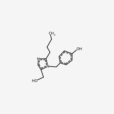 CCCCc1ncc(CO)n1Cc1ccc(O)cc1